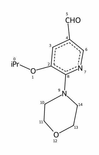 CC(C)Oc1cc(C=O)cnc1N1CCOCC1